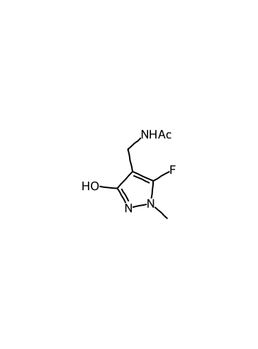 CC(=O)NCc1c(O)nn(C)c1F